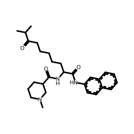 CC(C)C(=O)CCCCCC(NC(=O)C1CCCN(C)C1)C(=O)Nc1ccc2ccccc2c1